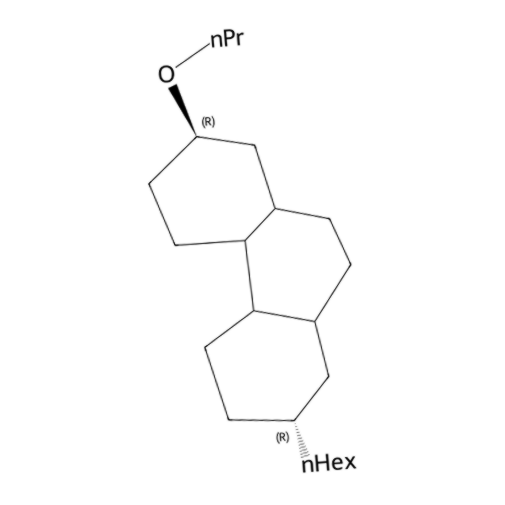 CCCCCC[C@@H]1CCC2C(CCC3C[C@H](OCCC)CCC32)C1